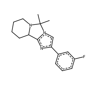 CC1(C)N2CCCCC2c2nc(-c3cccc(F)c3)cn21